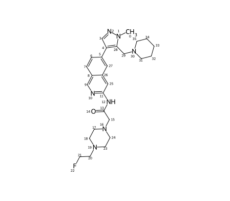 Cn1ncc(-c2ccc3cnc(NC(=O)CN4CCN(CCF)CC4)cc3c2)c1CN1CCCCC1